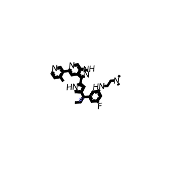 C/C=C(/c1cc(F)cc(NCCN(C)C)c1)c1c[nH]c(-c2n[nH]c3cnc(-c4cnccc4C)cc23)c1